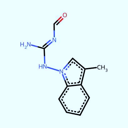 Cc1cn(NC(N)=NC=O)c2ccccc12